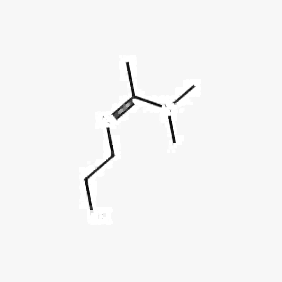 CCCCCCN=C(C)N(C)C